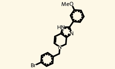 COc1cccc(-c2nc3c([nH]2)C=CN(Cc2ccc(Br)cc2)C3)c1